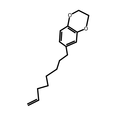 C=CCCCCCCc1ccc2c(c1)OCCO2